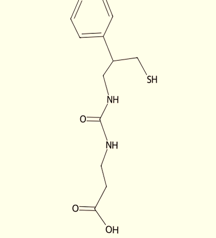 O=C(O)CCNC(=O)NCC(CS)c1ccccc1